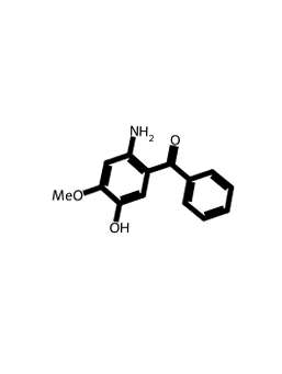 COc1cc(N)c(C(=O)c2ccccc2)cc1O